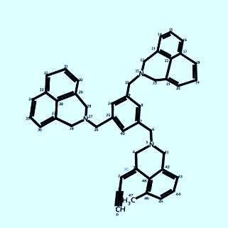 C#C/C=C1/CN(Cc2cc(CN3Cc4cccc5cccc(c45)C3)cc(CN3Cc4cccc5cccc(c45)C3)c2)Cc2cccc(C)c21